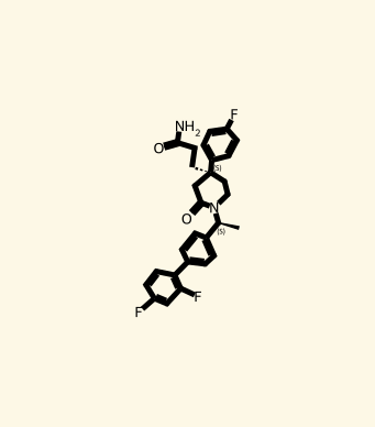 C[C@@H](c1ccc(-c2ccc(F)cc2F)cc1)N1CC[C@](CCC(N)=O)(c2ccc(F)cc2)CC1=O